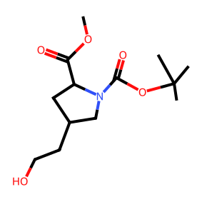 COC(=O)C1CC(CCO)CN1C(=O)OC(C)(C)C